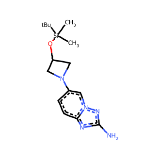 CC(C)(C)[Si](C)(C)OC1CN(c2ccc3nc(N)nn3c2)C1